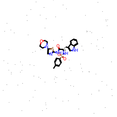 Cc1ccc(S(=O)(=O)N[C@@H](Cc2c[nH]c3ccccc23)C(=O)Nc2ncc(N3CCOCC3)s2)cc1